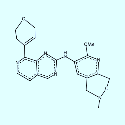 COc1nc2c(cc1Nc1ncc3ccnc(C4=CCOCC4)c3n1)CN(C)CC2